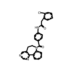 O=C(Cc1ccccc1Cl)Nc1ccc(C(=O)N2CCc3cncnc3-c3ccccc32)cc1